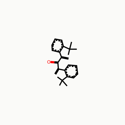 C=C(C(=O)C(=C)c1ccccc1C(C)(C)C)c1ccccc1C(C)(C)C